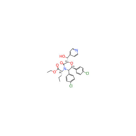 CCC[C@H](C(=O)OCC)N1C(=O)[C@H](C(O)c2ccncc2)O[C@@H](c2ccc(Cl)cc2)C1c1ccc(Cl)cc1